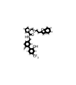 O=C(NCc1ccc(F)c(-c2ccc(C(F)(F)F)cc2O)c1)C1CCCN1COCCc1cc2ccccc2o1